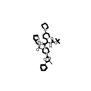 C[C@@H]1N=C(N2CCN(C(=O)[C@H](NC(=O)OC(C)(C)C)[C@H]3CC[C@H](N4CCCCC4)CC3)[C@H](C(=O)NCc3cccs3)C2)O[C@H]1c1ccccc1